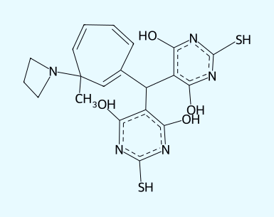 CC1(N2CCC2)C=CC=CC(C(c2c(O)nc(S)nc2O)c2c(O)nc(S)nc2O)=C1